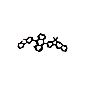 CC1(C)c2cc(-c3c4ccccc4c(-c4ccc5sc6ccccc6c5c4)c4ccccc34)ccc2-c2cc3ccccc3cc21